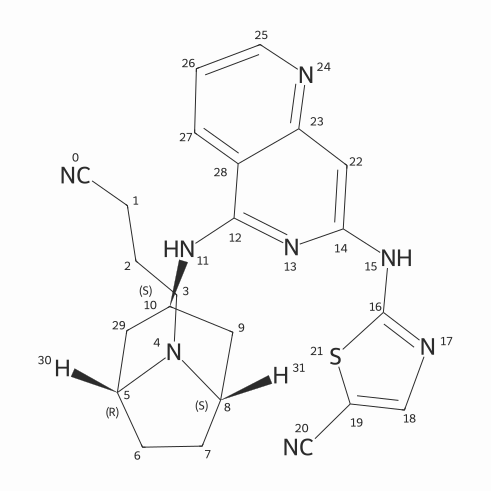 N#CCCCN1[C@@H]2CC[C@H]1C[C@H](Nc1nc(Nc3ncc(C#N)s3)cc3ncccc13)C2